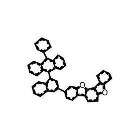 c1ccc(-c2c3ccccc3c(-c3cc(-c4ccc5c(c4)oc4c5ccc5oc6ccccc6c54)cc4ccccc34)c3ccccc23)cc1